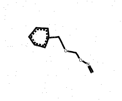 C=NOCOCc1ccccc1